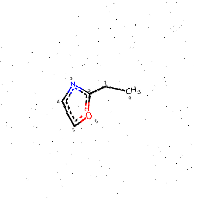 C[CH]c1ncco1